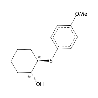 COc1ccc(S[C@@H]2CCCC[C@H]2O)cc1